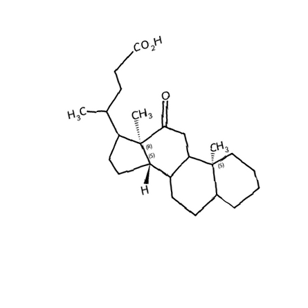 CC(CCC(=O)O)C1CC[C@H]2C3CCC4CCCC[C@]4(C)C3CC(=O)[C@]12C